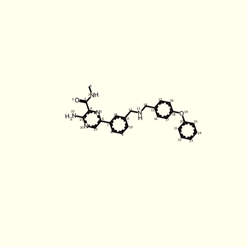 CNC(=O)c1nc(-c2cccc(CNCc3ccc(Oc4ccccc4)cc3)c2)cnc1N